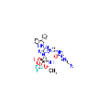 CCC(=O)N[C@H]1C[C@@H](n2cnc3c(NCC(c4ccccc4)c4ccccc4)nc(N4CC[C@@H](NC(=O)N5CCN(CCC#N)CC5)C4)nc32)[C@H](O)[C@@H]1OC(=O)C(F)(F)F